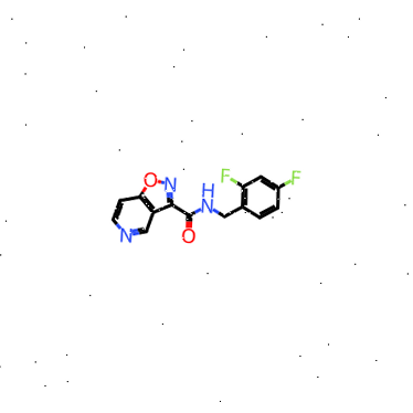 O=C(NCc1ccc(F)cc1F)c1noc2ccncc12